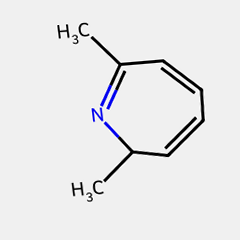 CC1=NC(C)C=CC=C1